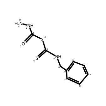 NNC(=O)SC(=S)NCc1ccccc1